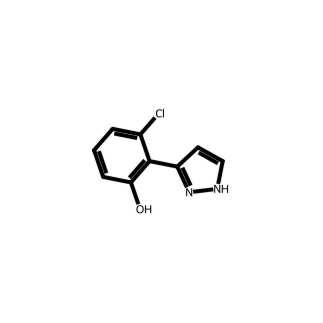 Oc1cccc(Cl)c1-c1cc[nH]n1